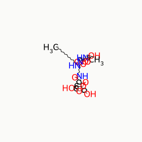 CCCCCCCCCCCCCC(=O)NC(CCCCNC(=O)c1ccc2c(c1)C(=O)OC21c2ccc(O)cc2Oc2cc(O)ccc21)C(=O)N1CCC[C@H]1C(=O)N[C@@H](CO)C(C)=O